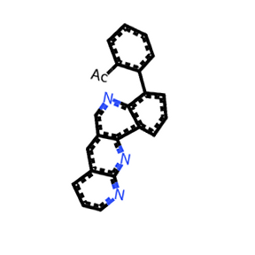 CC(=O)c1ccccc1-c1cccc2c1ncc1cc3cccnc3nc12